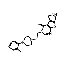 Cc1ccccc1N1CCN(CCn2cnc3sc4c(c3c2=O)CNC4)CC1